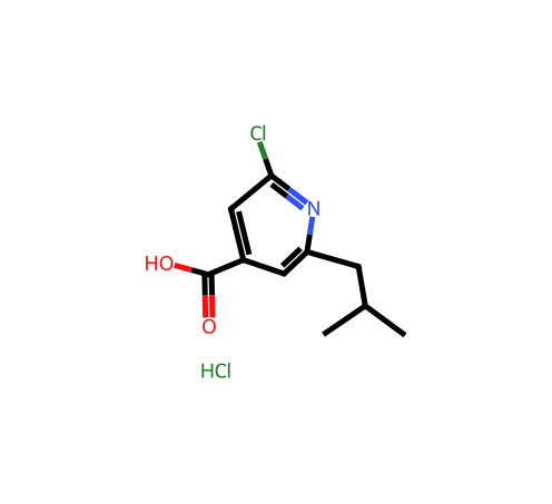 CC(C)Cc1cc(C(=O)O)cc(Cl)n1.Cl